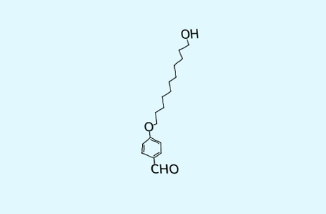 O=Cc1ccc(OCCCCCCCCCCCO)cc1